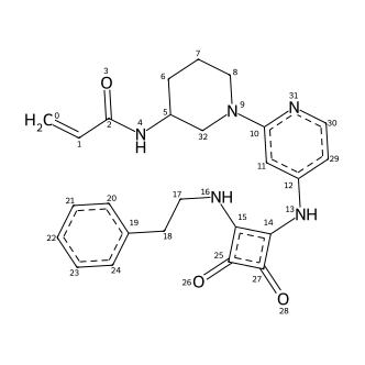 C=CC(=O)NC1CCCN(c2cc(Nc3c(NCCc4ccccc4)c(=O)c3=O)ccn2)C1